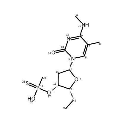 CC[C@H]1O[C@@H](n2cc(C)c(NC)nc2=O)C[C@H]1OP(C)(O)=S